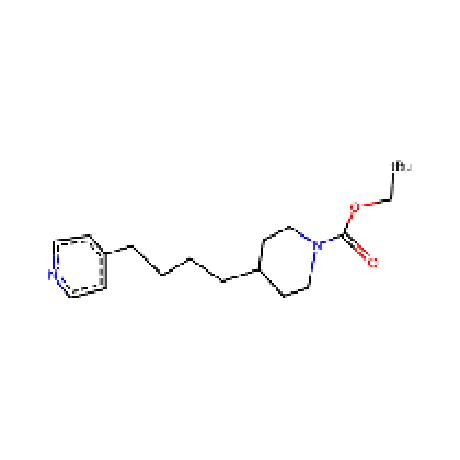 CC(C)(C)COC(=O)N1CCC(CCCCc2ccncc2)CC1